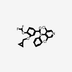 O=C(c1ccc(OC(F)F)c(OCC2CC2)c1)N(c1ccccc1)c1c(Cl)cncc1Cl